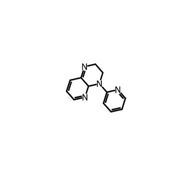 C1=CC2=NCCN(c3ccccn3)C2N=C1